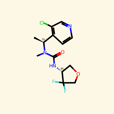 C[C@@H](c1ccncc1Cl)N(C)C(=O)N[C@@H]1COCC1(F)F